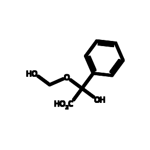 O=C(O)C(O)(OCO)c1ccccc1